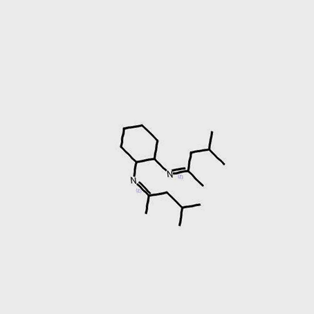 C/C(CC(C)C)=N/C1CCCCC1/N=C(/C)CC(C)C